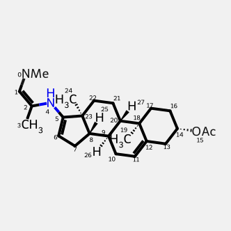 CN/C=C(/C)NC1=CC[C@H]2[C@@H]3CC=C4C[C@@H](OC(C)=O)CC[C@]4(C)[C@H]3CC[C@]12C